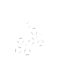 CC[P+](c1ccccc1)(c1ccccc1)c1ccccc1.CC[P+](c1ccccc1)(c1ccccc1)c1ccccc1.O=C([O-])C(=O)[O-]